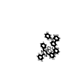 C[Si]1(C)c2ccccc2-c2nc(-c3ccccc3)nc(-c3cccc(-c4cccc(-c5ccc6c(c5)c5ccccc5n6-c5ccccc5)c4)c3)c21